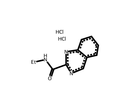 CCNC(=O)c1ncc2ccccc2n1.Cl.Cl